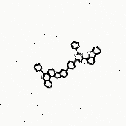 c1ccc(-c2nc(-c3ccc(-c4ccc5sc6c(ccc7c(-c8ccccc8)nc8ccccc8c76)c5c4)cc3)nc(-c3cccc4c3oc3ccccc34)n2)cc1